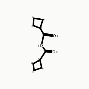 O=C(OC(=O)C1CCC1)C1CCC1